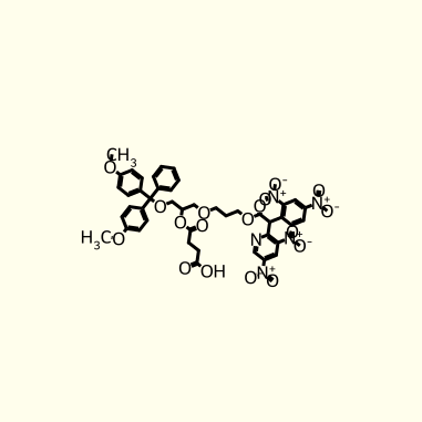 COc1ccc(C(OCC(COCCCOC(=O)C(c2ccc([N+](=O)[O-])cc2[N+](=O)[O-])c2ncc([N+](=O)[O-])cc2[N+](=O)[O-])OC(=O)CCC(=O)O)(c2ccccc2)c2ccc(OC)cc2)cc1